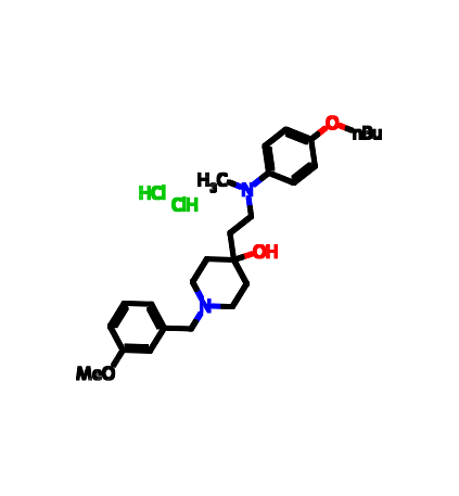 CCCCOc1ccc(N(C)CCC2(O)CCN(Cc3cccc(OC)c3)CC2)cc1.Cl.Cl